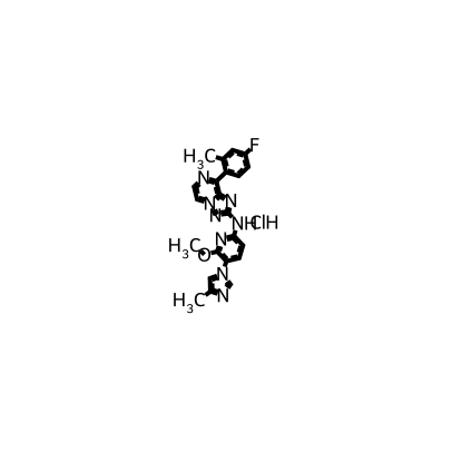 COc1nc(Nc2nc3c(-c4ccc(F)cc4C)nccn3n2)ccc1-n1cnc(C)c1.Cl